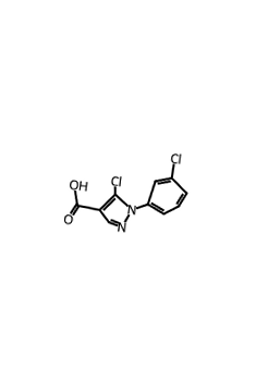 O=C(O)c1cnn(-c2cccc(Cl)c2)c1Cl